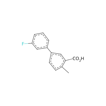 Cc1ccc(-c2cccc(F)c2)cc1C(=O)O